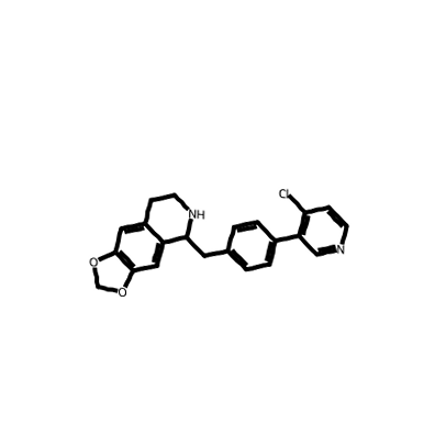 Clc1ccncc1-c1ccc(CC2NCCc3cc4c(cc32)OCO4)cc1